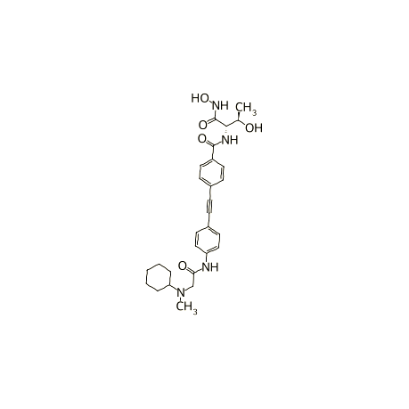 C[C@@H](O)[C@H](NC(=O)c1ccc(C#Cc2ccc(NC(=O)CN(C)C3CCCCC3)cc2)cc1)C(=O)NO